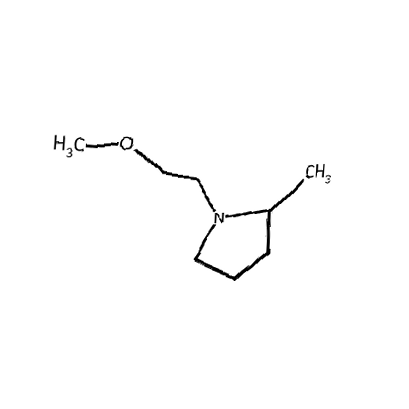 COCCN1CCCC1C